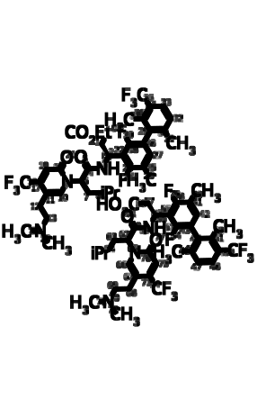 CCOC(=O)C[C@H](NC(=O)C(CC(C)C)n1cc(CCN(C)C)c(C(F)(F)F)cc1=O)c1c(F)c(C)cc(-c2c(C)ccc(C(F)(F)F)c2C)c1F.Cc1cc(-c2c(C)ccc(C(F)(F)F)c2C)c(F)c([C@H](CC(=O)O)NC(=O)C(CC(C)C)n2cc(CCN(C)C)c(C(F)(F)F)cc2=O)c1F